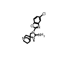 CN1C(N)N(c2nc3cc(Cl)ccc3o2)CC12CN1CCC2CC1